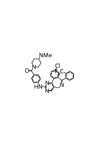 CNC1CCN(C(=O)c2ccc(Nc3ncc4c(n3)-c3ccc(Cl)cc3C(c3ccccc3C(F)(F)F)=NC4)cc2)CC1